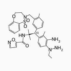 CCN(N)c1ccc([C@H](c2ccc(C)c(CN3CCOc4ccccc4S3(=O)=O)c2)C(C)(C)NC(=O)c2ccno2)c(C)c1N